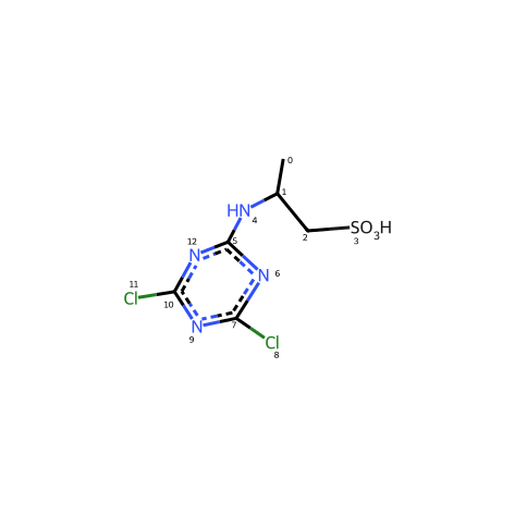 CC(CS(=O)(=O)O)Nc1nc(Cl)nc(Cl)n1